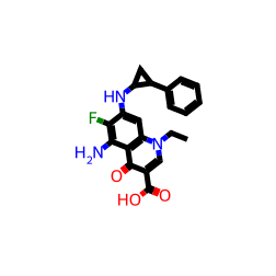 CCn1cc(C(=O)O)c(=O)c2c(N)c(F)c(NC3CC3c3ccccc3)cc21